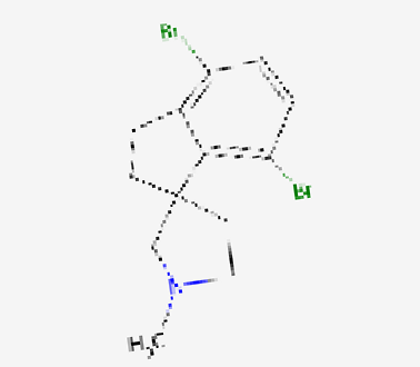 CN1CCC2(CCc3c(Br)ccc(Br)c32)C1